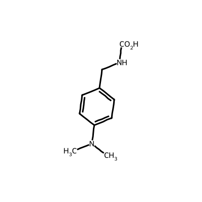 CN(C)c1ccc(CNC(=O)O)cc1